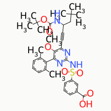 COc1c(C#CC(CC(C)(C)C)NC(=O)OC(C)(C)C)nc(NS(=O)(=O)c2cccc(C(=O)O)c2)nc1-c1c(C)cccc1C